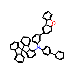 C1=CC2Oc3ccccc3C2C=C1c1cccc(N(c2ccc(-c3ccccc3)cc2)c2cccc3c2-c2ccccc2C32c3ccccc3-c3ccccc32)c1